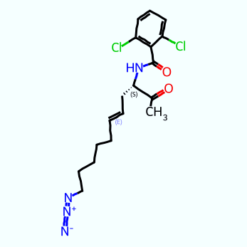 CC(=O)[C@H](C/C=C/CCCCCN=[N+]=[N-])NC(=O)c1c(Cl)cccc1Cl